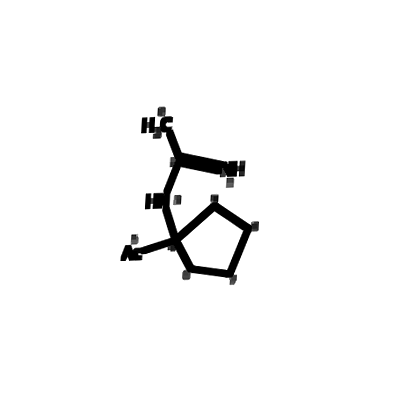 CC(=N)NC1(C(C)=O)CCCC1